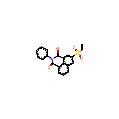 C=CS(=O)(=O)c1cc2c3c(cccc3c1)C(=O)N(c1ccccc1)C2=O